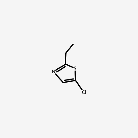 CCc1ncc(Cl)s1